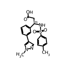 Cc1ccc(S(=O)(=O)N[C@H](CC(=O)O)c2cccc(-c3cnn(C)c3)c2)cc1